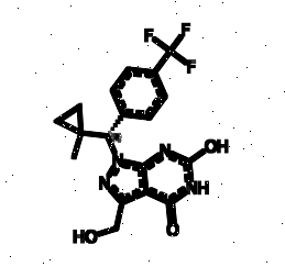 CC1([C@H](c2ccc(C(F)(F)F)cc2)n2nc(CO)c3c(=O)[nH]c(O)nc32)CC1